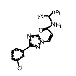 CCCC(CC)NC(=O)/C=C\n1cnc(-c2cccc(Cl)c2)n1